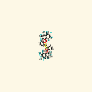 Fc1c(F)c(F)c2c(Oc3ccccc3SSc3ccccc3Oc3c(F)c(F)c(F)c4c(F)c(F)c(F)c(F)c34)c(F)c(F)c(F)c2c1F